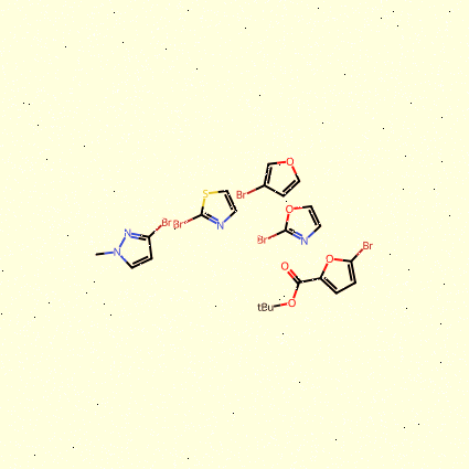 Brc1ccoc1.Brc1ncco1.Brc1nccs1.CC(C)(C)OC(=O)c1ccc(Br)o1.Cn1ccc(Br)n1